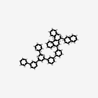 c1ccc(-c2cccc(-c3cc(-c4cccc(-c5cccc(-c6cc7c(-c8ccc9ccccc9c8)nc8ccccc8c7c7ccccc67)c5)c4)nc(-c4ccccn4)n3)c2)cc1